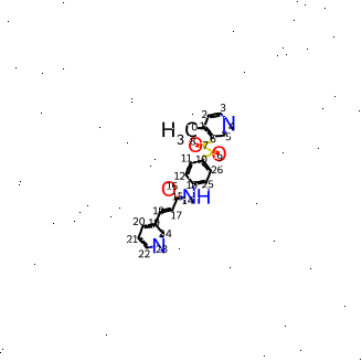 Cc1ccncc1S(=O)(=O)c1ccc(NC(=O)C=Cc2cccnc2)cc1